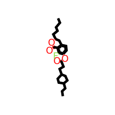 CCCCCC1Cc2ccc(OC(=O)CCC3CCC(CCC)CC3)c(F)c2C(=O)O1